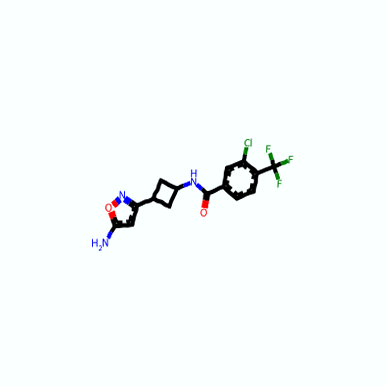 Nc1cc(C2CC(NC(=O)c3ccc(C(F)(F)F)c(Cl)c3)C2)no1